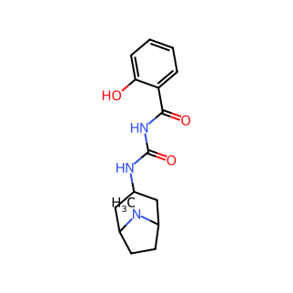 CN1C2CCC1CC(NC(=O)NC(=O)c1ccccc1O)C2